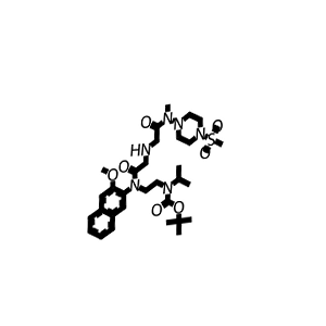 COc1cc2ccccc2cc1N(CCN(C(=O)OC(C)(C)C)C(C)C)C(=O)CNCC(=O)N(C)N1CCN(S(C)(=O)=O)CC1